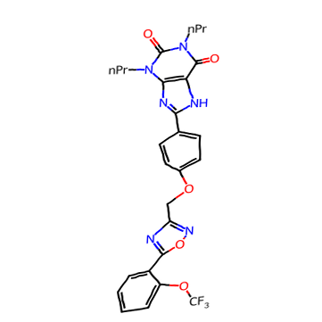 CCCn1c(=O)c2[nH]c(-c3ccc(OCc4noc(-c5ccccc5OC(F)(F)F)n4)cc3)nc2n(CCC)c1=O